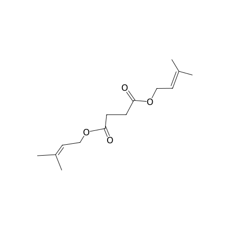 CC(C)=CCOC(=O)CCC(=O)OCC=C(C)C